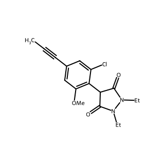 CC#Cc1cc(Cl)c(C2C(=O)N(CC)N(CC)C2=O)c(OC)c1